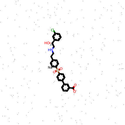 O=C([O-])c1cccc(-c2ccc(S(=O)(=O)c3ccc(CCNC[C@H](O)c4cccc(Cl)c4)cc3)cc2)c1.[Na+]